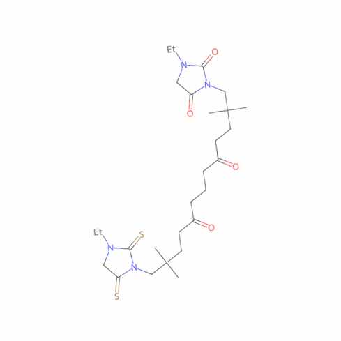 CCN1CC(=O)N(CC(C)(C)CCC(=O)CCCC(=O)CCC(C)(C)CN2C(=S)CN(CC)C2=S)C1=O